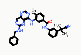 Cc1ccc(C(=O)Nc2cccc(C(C)(C)C#N)c2)cc1Nc1ncnc2cnc(NCc3ccccc3)nc12